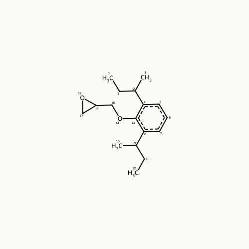 CCC(C)c1cccc(C(C)CC)c1OCC1CO1